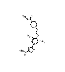 CCCCNc1nnc(-c2cc(C)c(OCCN3CCC(C(=O)OC(C)(C)C)CC3)c(C)c2)s1